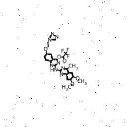 COc1cc2nc(Nc3nc(OC(=O)C(F)(F)F)c4cc(OCCn5cnnc5)ccc4n3)nc(C)c2cc1OC